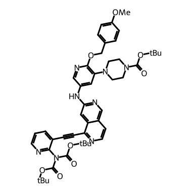 COc1ccc(COc2ncc(Nc3cc4c(C#Cc5cccnc5N(C(=O)OC(C)(C)C)C(=O)OC(C)(C)C)nccc4cn3)cc2N2CCN(C(=O)OC(C)(C)C)CC2)cc1